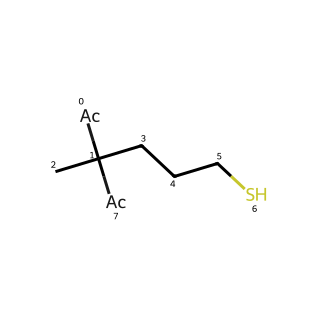 CC(=O)C(C)(CCCS)C(C)=O